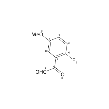 COc1ccc(F)c(C(=O)C=O)c1